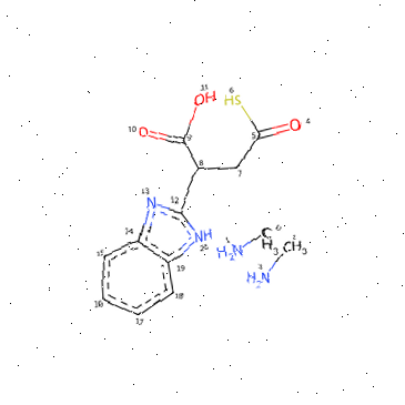 CN.CN.O=C(S)CC(C(=O)O)c1nc2ccccc2[nH]1